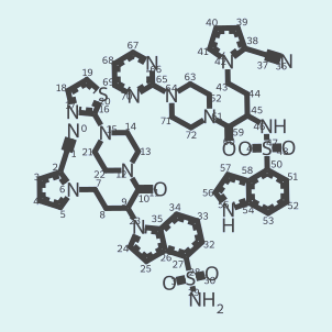 N#Cc1cccn1CCC(C(=O)N1CCN(c2nccs2)CC1)n1ccc2c(S(N)(=O)=O)cccc21.N#Cc1cccn1CCC(NS(=O)(=O)c1cccc2[nH]ccc12)C(=O)N1CCN(c2ncccn2)CC1